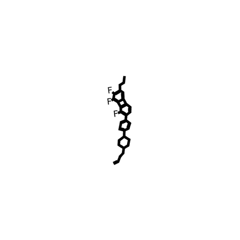 C=CCCC1CCC(c2ccc(-c3ccc4c(c3F)-c3c-4cc(CCC)c(F)c3F)cc2)CC1